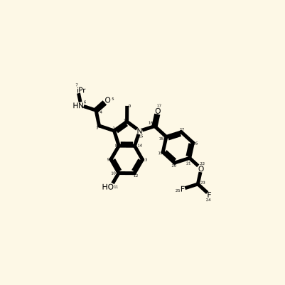 Cc1c(CC(=O)NC(C)C)c2cc(O)ccc2n1C(=O)c1ccc(OC(F)F)cc1